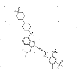 COc1cc(S(C)(=O)=O)c(F)cc1NCC#Cc1sc2c(NC3CCC(N4CCS(=O)(=O)CC4)CC3)cccc2c1CC(F)F